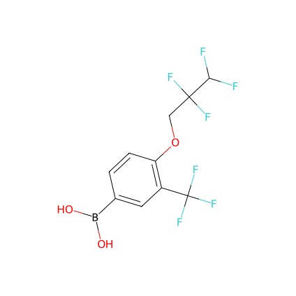 OB(O)c1ccc(OCC(F)(F)C(F)F)c(C(F)(F)F)c1